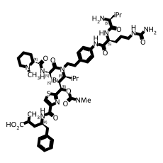 CC[C@H](C)[C@H](NC(=O)[C@H]1CCCCN1C)C(=O)N(CCc1ccc(NC(=O)[C@H](CCCNC(N)=O)NC(=O)[C@@H](N)C(C)C)cc1)[C@H](C[C@@H](OC(=O)NC)c1nc(C(=O)N[C@@H](Cc2ccccc2)CC(C)C(=O)O)cs1)C(C)C